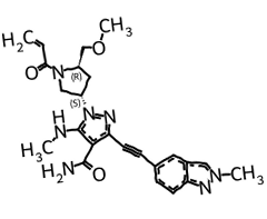 C=CC(=O)N1C[C@@H](n2nc(C#Cc3ccc4nn(C)cc4c3)c(C(N)=O)c2NC)C[C@@H]1COC